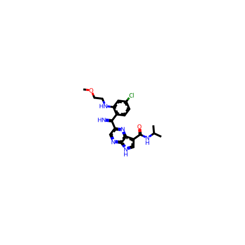 COCCNc1cc(Cl)ccc1C(=N)c1cnc2[nH]cc(C(=O)NC(C)C)c2n1